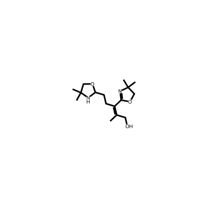 C/C(CO)=C(\CCC1NC(C)(C)CO1)C1=NC(C)(C)CO1